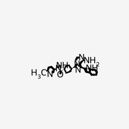 Cc1ccc(N(N)C(=O)[C@H]2CC[C@H](c3nc(-c4cc5ccccc5[nH]4)c4c(N)nccn43)CC2)cn1